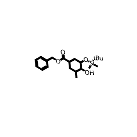 CC1CC(C(=O)OCc2ccccc2)CC(O[Si](C)(C)C(C)(C)C)C1O